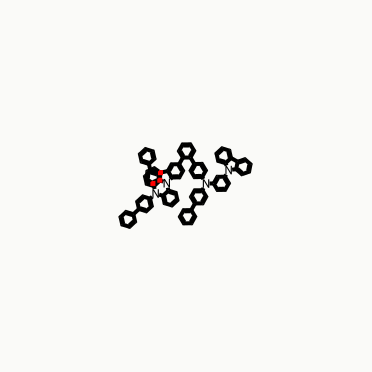 c1ccc(-c2ccc(N(c3ccc(-c4ccccc4-c4ccc5c(c4)c4ccccc4n5-c4ccccc4N(c4ccc(-c5ccccc5)cc4)c4ccc(-c5ccccc5)cc4)cc3)c3cccc(-n4c5ccccc5c5ccccc54)c3)cc2)cc1